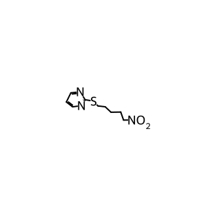 O=[N+]([O-])CCCCCSc1ncccn1